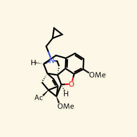 COc1ccc2c3c1O[C@@H]1[C@]34CCN(CC3CC3)[C@H](C2)[C@]42C=C3[C@@](C(C)=O)(C2)[C@]31OC